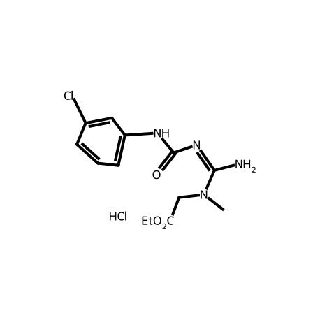 CCOC(=O)CN(C)/C(N)=N\C(=O)Nc1cccc(Cl)c1.Cl